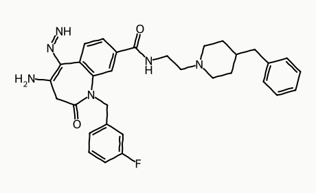 N=NC1=C(N)CC(=O)N(Cc2cccc(F)c2)c2cc(C(=O)NCCN3CCC(Cc4ccccc4)CC3)ccc21